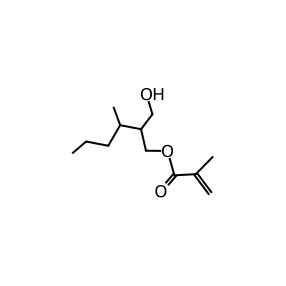 C=C(C)C(=O)OCC(CO)C(C)CCC